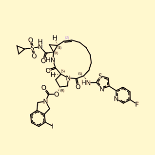 O=C1N[C@]2(C(=O)NS(=O)(=O)C3CC3)C[C@H]2/C=C\CCCCC[C@H](Nc2nc(-c3ccc(F)cn3)cs2)C(=O)N2C[C@H](OC(=O)N3Cc4cccc(I)c4C3)C[C@@H]12